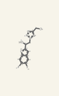 OC(Cn1nnc(CCl)n1)c1cc2cc(F)c(F)cc2o1